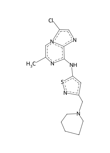 Cc1cn2c(Cl)cnc2c(Nc2cc(CN3CCCCC3)ns2)n1